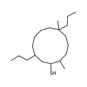 CCCC1CCCCC(C)(CCC)CCCC(C)C(S)C1